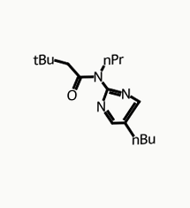 CCCCc1cnc(N(CCC)C(=O)CC(C)(C)C)nc1